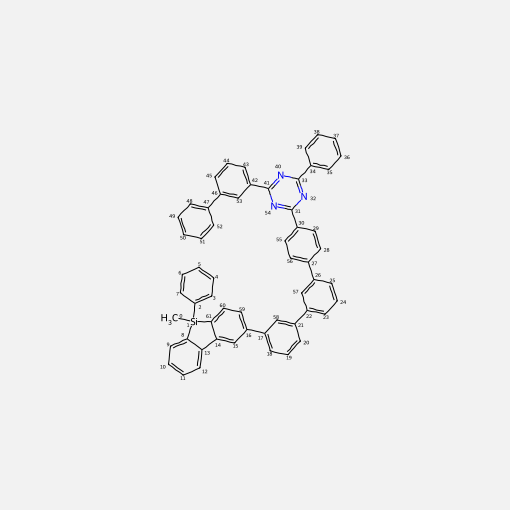 C[Si]1(c2ccccc2)c2ccccc2-c2cc(-c3cccc(-c4cccc(-c5ccc(-c6nc(-c7ccccc7)nc(-c7cccc(-c8ccccc8)c7)n6)cc5)c4)c3)ccc21